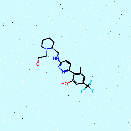 Cc1cc(C(F)(F)F)cc(O)c1-c1ccc(NC[C@@H]2CCCCN2CCO)nn1